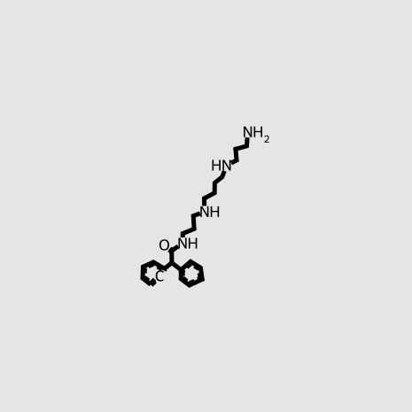 NCCCNCCCCNCCCNC(=O)C(c1ccccc1)c1ccccc1